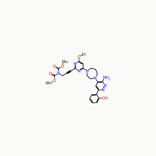 CCOc1cc(N2CCCN(c3cc(-c4ccccc4O)nnc3N)CC2)nc(C#CCN(C(=O)OC(C)(C)C)C(=O)OC(C)(C)C)n1